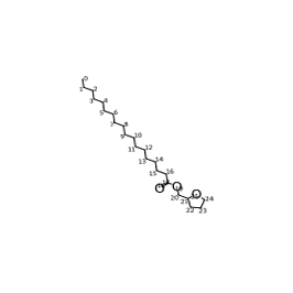 CCCCCCCCCCCCCCCCCC(=O)OCC1CCCO1